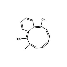 Cc1cccccc(O)c2ccccc2c1O